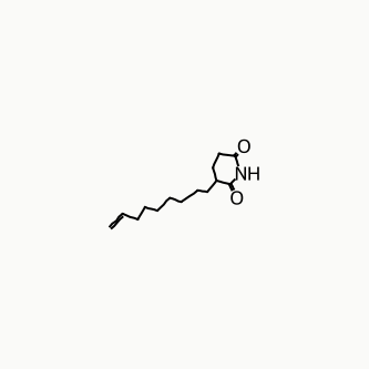 C=CCCCCCCCC1CCC(=O)NC1=O